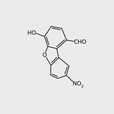 O=Cc1ccc(O)c2oc3ccc([N+](=O)[O-])cc3c12